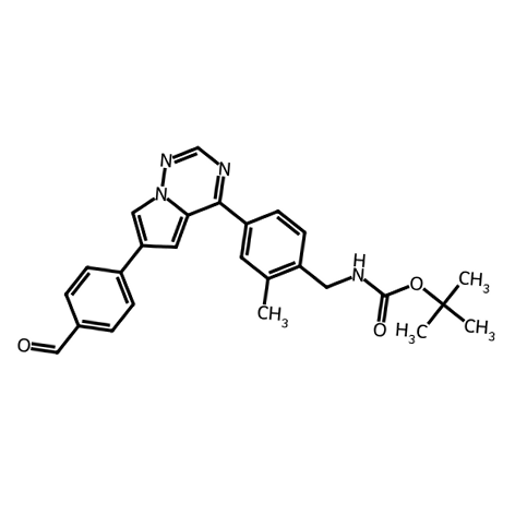 Cc1cc(-c2ncnn3cc(-c4ccc(C=O)cc4)cc23)ccc1CNC(=O)OC(C)(C)C